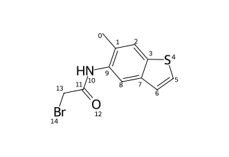 Cc1cc2sccc2cc1NC(=O)CBr